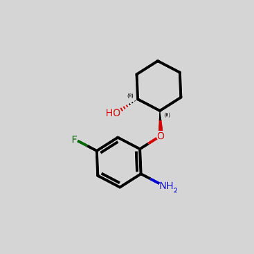 Nc1ccc(F)cc1O[C@@H]1CCCC[C@H]1O